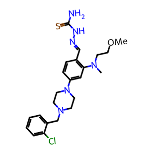 COCCN(C)c1cc(N2CCN(Cc3ccccc3Cl)CC2)ccc1C=NNC(N)=S